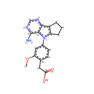 COc1cc(-n2c3c(c4ncnc(N)c42)CCC3)ccc1CC(=O)O